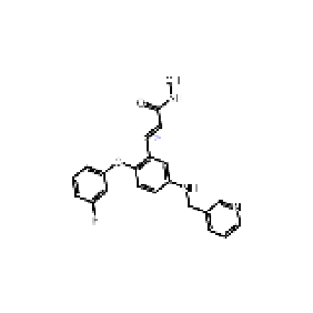 O=C(/C=C/c1cc(NCc2cccnc2)ccc1Oc1cccc(F)c1)NO